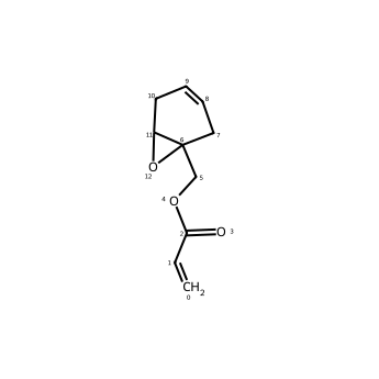 C=CC(=O)OCC12CC=CCC1O2